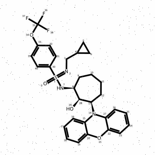 O=S(=NCC1CC1)(N[C@H]1CCCC[C@@H](N2c3ccccc3Oc3ccccc32)[C@H]1O)c1ccc(OC(F)(F)F)cc1